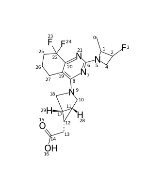 CC1C(F)CN1c1nc(N2C[C@@H]3[C@H](CC(=O)O)[C@@H]3C2)c2c(n1)C(F)(F)CCC2